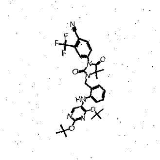 CC(C)(C)Oc1ncc(Nc2ccccc2CN2C(=O)N(c3ccc(C#N)c(C(F)(F)F)c3)C(=O)C2(C)C)c(OC(C)(C)C)n1